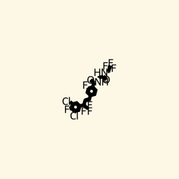 O=C(CNC(=O)c1ccc(/C=C/C(c2cc(Cl)c(F)c(Cl)c2)C(F)(F)F)cc1F)NCC(F)(F)F